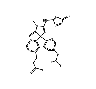 C=C(F)CCc1cccc(C2(c3ccc(OC(F)F)cc3)N=C(NC3=NC(=O)C=N3)N(C)C2=O)c1